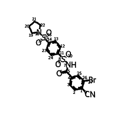 N#Cc1ccc(C(=O)NS(=O)(=O)c2ccc(S(=O)(=O)N3CCCC3)cc2)cc1Br